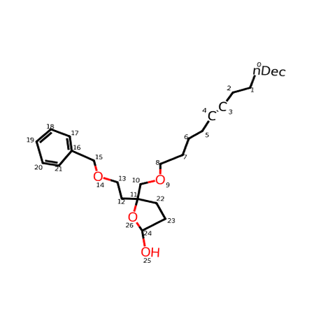 CCCCCCCCCCCCCCCCCCOCC1(CCOCc2ccccc2)CCC(O)O1